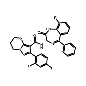 O=C(N[C@H]1N=C(c2ccccc2)c2cccc(F)c2NC1=O)c1c(-c2ccc(F)cc2F)nn2c1SCCC2